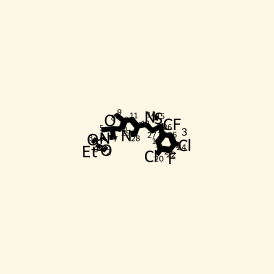 CCS(=O)(=O)N1CC2(C1)OCc1cc(C3=NSC(c4cc(Cl)c(F)c(Cl)c4)(C(F)(F)F)C3)cnc12